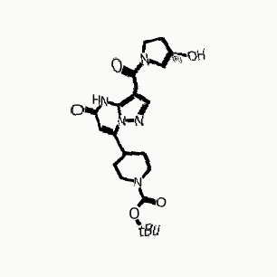 CC(C)(C)OC(=O)N1CCC(c2cc(=O)[nH]c3c(C(=O)N4CC[C@@H](O)C4)cnn23)CC1